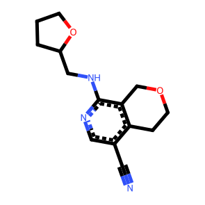 N#Cc1cnc(NCC2CCCO2)c2c1CCOC2